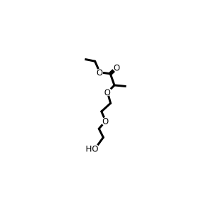 CCOC(=O)C(C)OCCOCCO